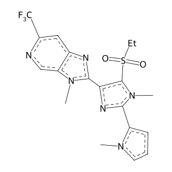 CCS(=O)(=O)c1c(-c2nc3cc(C(F)(F)F)ncc3n2C)nc(-c2cccn2C)n1C